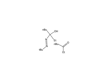 CCCCC(=O)CC.CCCCC(O)(CC)N=NC(C)(C)C